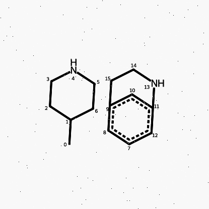 CC1CCNCC1.c1cc2cc(c1)NCC2